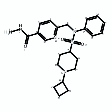 NNC(=O)c1ccc(CN(c2ccccc2)S(=O)(=O)C2CCN(C3CCC3)CC2)nc1